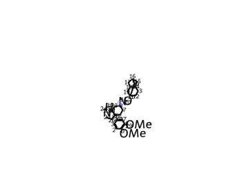 COc1ccc([C@@]23CC/C(=N\OC45CCC6CC(CC6C4)C5)C[C@@H]2N(C)CC3)cc1OC